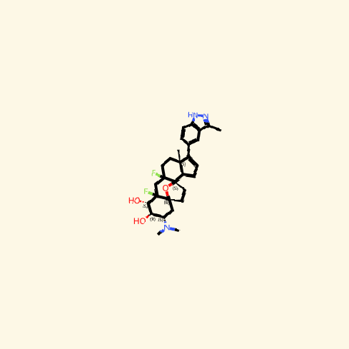 Cc1n[nH]c2ccc(C3=CCC4[C@@]56CC[C@]7(C[C@H](N(C)C)[C@@H](O)[C@H](O)C7(F)CC5(F)CC[C@]34C)O6)cc12